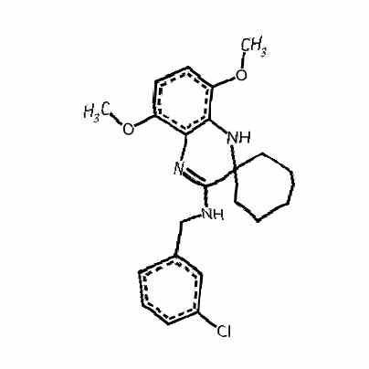 COc1ccc(OC)c2c1N=C(NCc1cccc(Cl)c1)C1(CCCCC1)N2